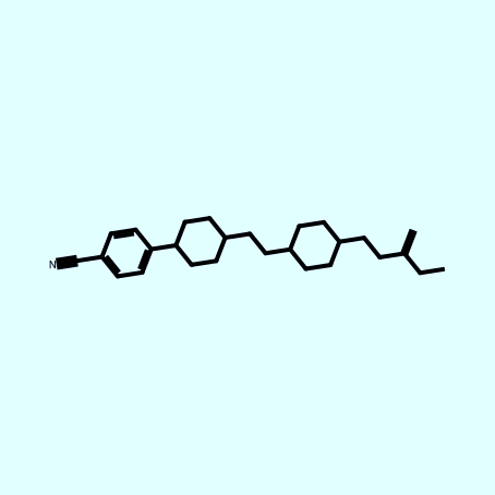 C=C(CC)CCC1CCC(CCC2CCC(c3ccc(C#N)cc3)CC2)CC1